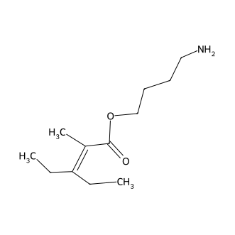 CCC(CC)=C(C)C(=O)OCCCCN